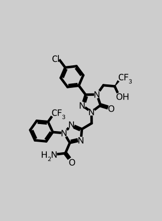 NC(=O)c1nc(Cn2nc(-c3ccc(Cl)cc3)n(C[C@H](O)C(F)(F)F)c2=O)nn1-c1ccccc1C(F)(F)F